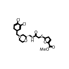 COC(=O)C1=CCC(SCC(=O)NC[C@H]2CN(CC3C=C(Cl)C(Cl)=CC3)CCO2)O1